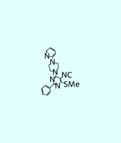 [C-]#[N+]c1c(SC)nc(-c2ccccc2)nc1N1CCN(c2ccccn2)CC1